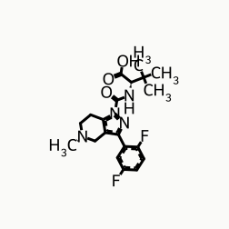 CN1CCc2c(c(-c3cc(F)ccc3F)nn2C(=O)N[C@H](C(=O)O)C(C)(C)C)C1